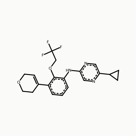 FC(F)(F)COc1c(Nc2cnc(C3CC3)cn2)cccc1C1=CCOCC1